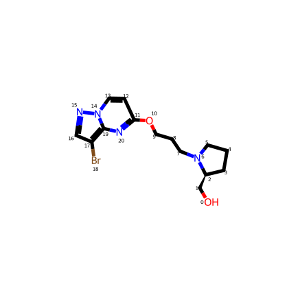 OC[C@@H]1CCCN1CCCOc1ccn2ncc(Br)c2n1